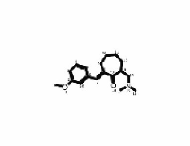 COc1cccc(/C=C2\CCCCC(CN(C)C)C2=O)c1